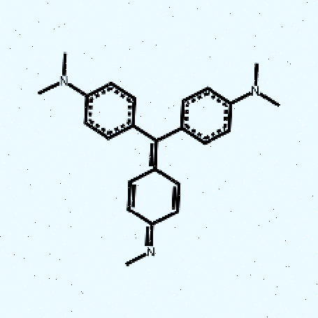 CN=C1C=CC(=C(c2ccc(N(C)C)cc2)c2ccc(N(C)C)cc2)C=C1